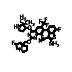 CC1(C)NCCC1Oc1nc(OCC23CCCN2CC(F)C3)nc2c(F)c(-c3ccc(F)c4sc(N)c(C#N)c34)c(C(F)(F)F)cc12